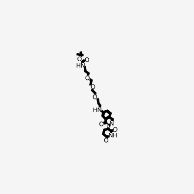 CC(C)(C)OC(=O)NCCCOCCOCCOCCCNc1ccc2cnn(C3CCC(=O)NC3=O)c(=O)c2c1